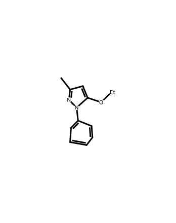 CCOc1cc(C)nn1-c1ccccc1